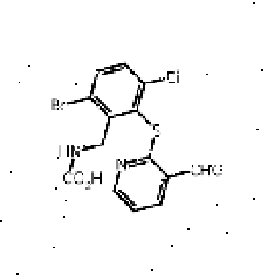 O=Cc1cccnc1Sc1c(Cl)ccc(Br)c1CNC(=O)O